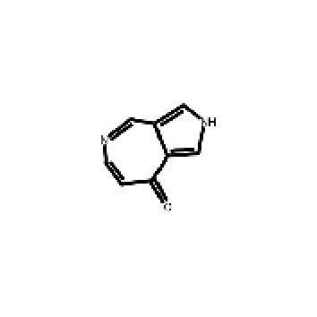 O=c1ccncc2c[nH]cc12